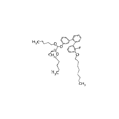 CCCCCCCCOc1cccc(-c2ccccc2-c2cccc(OC(OCCCCC)[C@H](CC)OCCCCC)c2)c1F